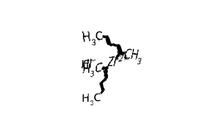 CC=CC=[C](C)[Zr+2][C](C)=CC=CC.[Cl-].[H-]